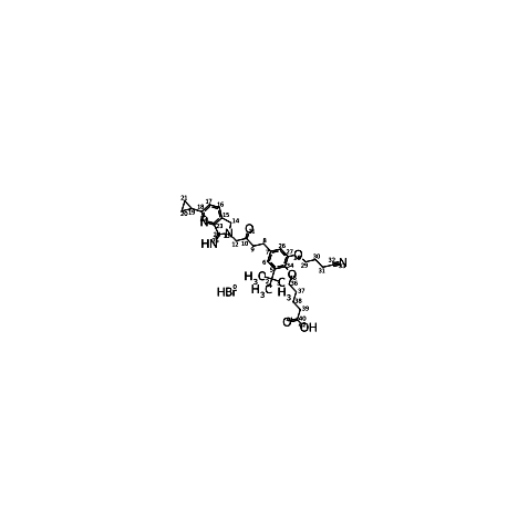 Br.CC(C)(C)c1cc(CCC(=O)CN2Cc3ccc(C4CC4)nc3C2=N)cc(OCCCC#N)c1OCCCCC(=O)O